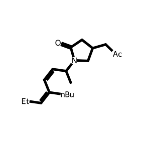 CC/C=C(\C=C/C(C)N1CC(CC(C)=O)CC1=O)CCCC